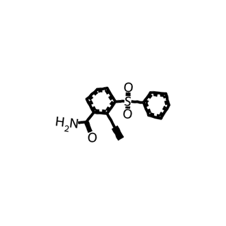 C#Cc1c(C(N)=O)cccc1S(=O)(=O)c1ccccc1